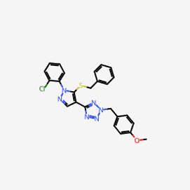 COc1ccc(Cn2nnc(-c3cnn(-c4ccccc4Cl)c3SCc3ccccc3)n2)cc1